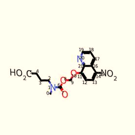 CN(CCCC(=O)O)C(=O)OCOc1ccc([N+](=O)[O-])c2cccnc12